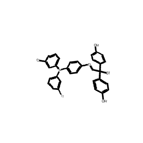 CCC(COc1ccc(N(c2cccc(Cl)c2)c2cccc(Cl)c2)cc1)(c1ccc(O)cc1)c1ccc(O)cc1